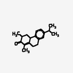 CC1=C2CCc3cc(C(C)C)ccc3C2CC(C)C1=O